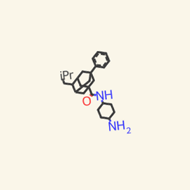 CC(C)CC1C2CC3(C(=O)NC4CCC(N)CC4)CC1CC(c1ccccc1)(C2)C3